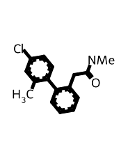 CNC(=O)Cc1ccccc1-c1ccc(Cl)cc1C